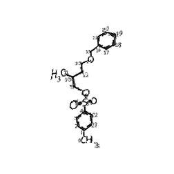 Cc1ccc(S(=O)(=O)OCC(C)CCOCc2ccccc2)cc1